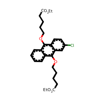 CCOC(=O)CCCCOc1c2ccccc2c(OCCCCC(=O)OCC)c2cc(Cl)ccc12